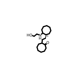 O=C1CCCCCCC1CC[C@@H]1CCCCCCC1NCCO